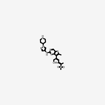 COC/C(=C\C=C(/C)S(C)(=O)=O)c1c(C)sc2cnc(Nc3cnn(C4CCNCC4)c3)nc12